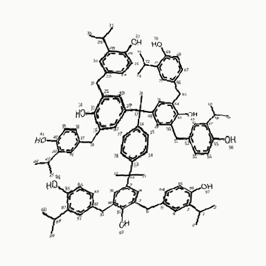 CC(C)c1cc(Cc2cc(C(C)(C)c3ccc(C(C)(c4cc(Cc5ccc(O)c(C(C)C)c5)c(O)c(Cc5ccc(O)c(C(C)C)c5)c4)c4cc(Cc5ccc(O)c(C(C)C)c5)c(O)c(Cc5ccc(O)c(C(C)C)c5)c4)cc3)cc(Cc3ccc(O)c(C(C)C)c3)c2O)ccc1O